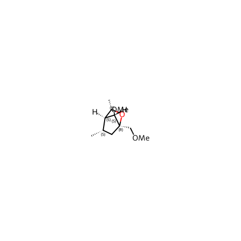 COC[C@@]12C[C@H](C)[C@@H]([C@H](C)O1)[C@@H]2OC